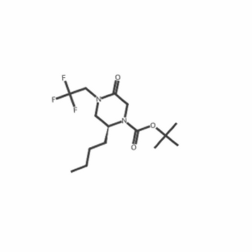 CCCC[C@H]1CN(CC(F)(F)F)C(=O)CN1C(=O)OC(C)(C)C